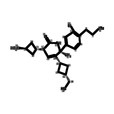 CC(C)(C)CCc1ccc([C@]2(C)NC(=O)N([C@H]3C[C@H](C(=O)O)C3)C=C2[C@H]2C[C@@H](CO)C2)cc1Cl